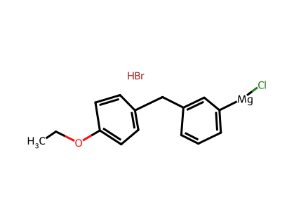 Br.CCOc1ccc(Cc2ccc[c]([Mg][Cl])c2)cc1